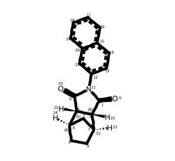 O=C1[C@@H]2[C@H]3CC[C@H](C3)[C@@H]2C(=O)N1c1ccc2ccccc2c1